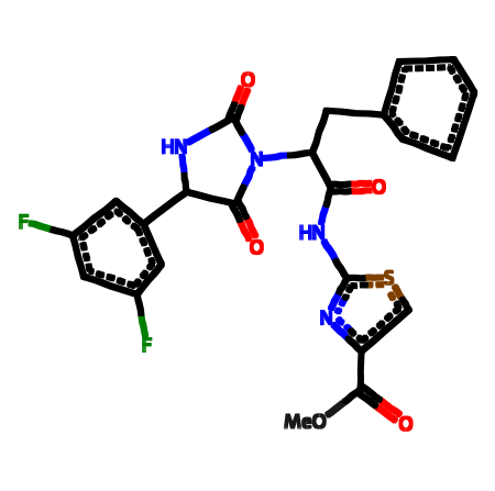 COC(=O)c1csc(NC(=O)C(Cc2ccccc2)N2C(=O)NC(c3cc(F)cc(F)c3)C2=O)n1